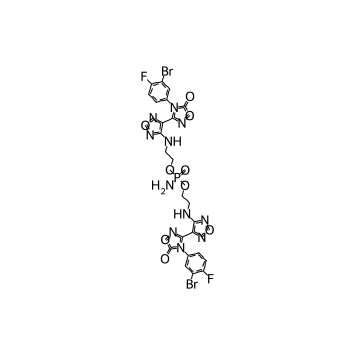 NP(=O)(OCCNc1nonc1-c1noc(=O)n1-c1ccc(F)c(Br)c1)OCCNc1nonc1-c1noc(=O)n1-c1ccc(F)c(Br)c1